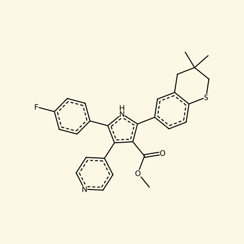 COC(=O)c1c(-c2ccc3c(c2)CC(C)(C)CS3)[nH]c(-c2ccc(F)cc2)c1-c1ccncc1